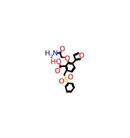 NC(=O)COc1c(-c2ccoc2)ccc(CS(=O)(=O)c2ccccc2)c1C(=O)O